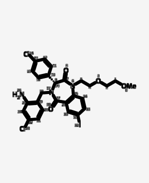 COCCOCCN1C(=O)[C@@H](c2ccc(Cl)cc2)N(Cc2ccc(Cl)cc2N)C(=O)c2cc(I)ccc21